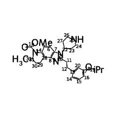 COC(=O)N1c2ccc3c(nc(CCc4cccc(OC(C)C)c4)n3C3CCNCC3)c2CC[C@@H]1C